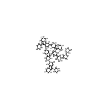 c1ccc(-c2cccc(-c3cccc(-c4cc(-n5c6ccccc6c6ccc(-c7ccc8c(c7)c7ccccc7n8-c7ccccc7)cc65)nc(-n5c6ccccc6c6ccc(-c7ccc8c(c7)c7ccccc7n8-c7ccccc7)cc65)n4)c3)c2)cc1